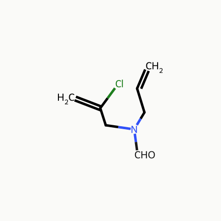 C=CCN(C=O)CC(=C)Cl